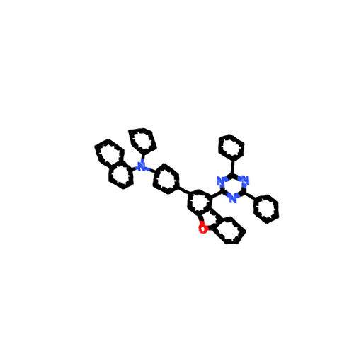 c1ccc(-c2nc(-c3ccccc3)nc(-c3cc(-c4ccc(N(c5ccccc5)c5cccc6ccccc56)cc4)cc4oc5ccccc5c34)n2)cc1